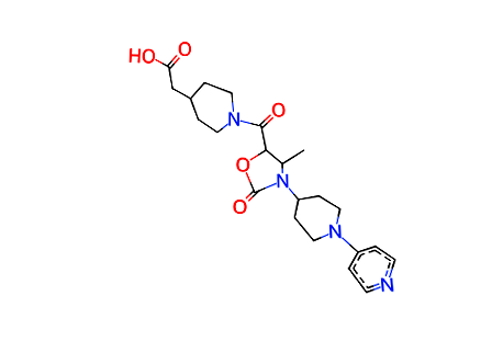 CC1C(C(=O)N2CCC(CC(=O)O)CC2)OC(=O)N1C1CCN(c2ccncc2)CC1